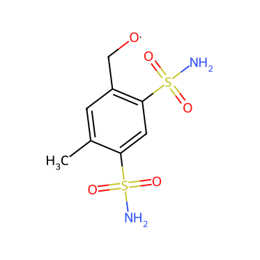 Cc1cc(C[O])c(S(N)(=O)=O)cc1S(N)(=O)=O